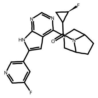 O=C(C1C[C@H]1F)N1C2CCC1CN(c1ncnc3[nH]c(-c4cncc(F)c4)cc13)C2